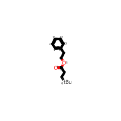 CC(C)(C)CCC(=O)OCCc1ccccc1